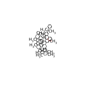 Cc1cc2c3c(c1)N(c1ccc(C(C)(C)c4ccccc4)cc1-c1ccccc1)c1cc4c(cc1B3c1cc3c(cc1C2Cc1ccc2c(c1)C(C)(C)CCC2(C)C)C(C)(C)CCC3(C)C)C(C)(C)CCC4(C)C